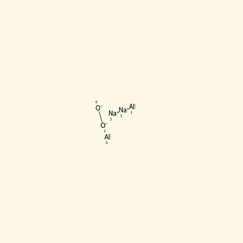 [Al].[Al].[Na+].[Na+].[O-][O-]